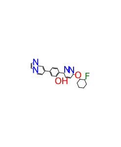 Oc1cc(-c2ccn3ccnc3c2)ccc1-c1ccc(O[C@@H]2CCCC[C@@H]2F)nn1